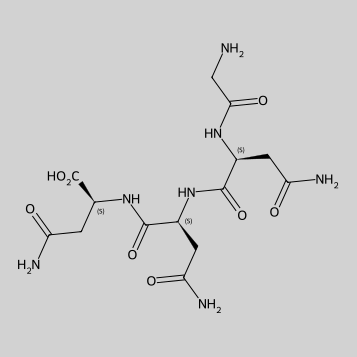 NCC(=O)N[C@@H](CC(N)=O)C(=O)N[C@@H](CC(N)=O)C(=O)N[C@@H](CC(N)=O)C(=O)O